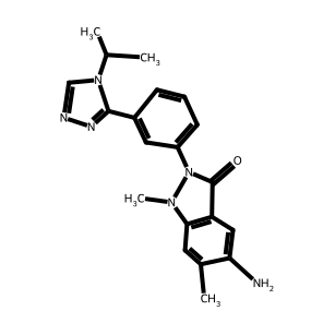 Cc1cc2c(cc1N)c(=O)n(-c1cccc(-c3nncn3C(C)C)c1)n2C